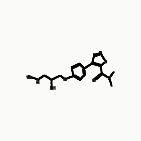 CN(C)C(=O)c1snnc1-c1ccc(OCC(O)CNC(C)(C)C)cc1